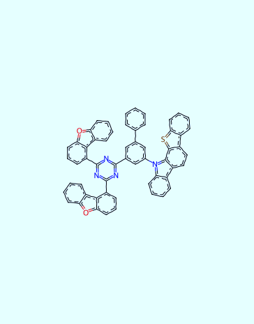 c1ccc(-c2cc(-c3nc(-c4cccc5oc6ccccc6c45)nc(-c4cccc5oc6ccccc6c45)n3)cc(-n3c4ccccc4c4ccc5c6ccccc6sc5c43)c2)cc1